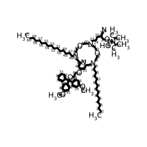 CCCCCCCCCCCCCCCCN1CCOCCN(CCCC(C#N)COP(O)N(C(C)C)C(C)C)CCOCCN(CCCCCCCCCCCCCCCC)Cc2cc(OCCOC(c3ccccc3)(c3ccc(OC)cc3)c3ccc(OC)cc3)cc(n2)C1